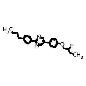 CCCCc1ccc(-c2ncc(-c3ccc(OCC(F)CC)cc3)cn2)cc1